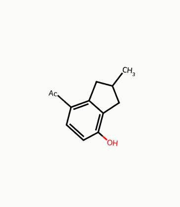 CC(=O)c1ccc(O)c2c1CC(C)C2